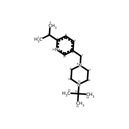 CC(C)c1ccc(CN2CCN(C(C)(C)C)CC2)cn1